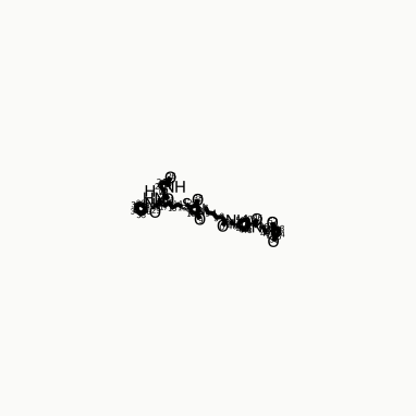 O=C(CCCCCN1C(=O)CC(SCCCCC[C@H](NC(=O)[C@H]2CCC(=O)N2)C(=O)Nc2ccccc2)C1=O)NC[C@H]1CC[C@H](C(=O)NCCN2C(=O)C=CC2=O)CC1